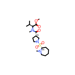 COC(=O)[C@H](C(C)C)N(C)C(=O)[C@H]1CCN(S(=O)(=O)[C@@H]2CCCCCN2C)C1